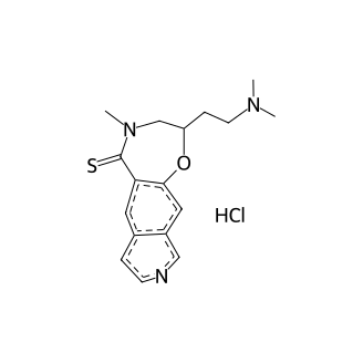 CN(C)CCC1CN(C)C(=S)c2cc3ccncc3cc2O1.Cl